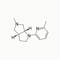 Cc1cccc(N2CC[C@@H]3CN(C)C[C@@H]32)n1